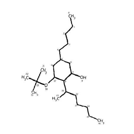 CCCCCC1CC(O)C(C(C)CCCCC)C(OC(C)(C)C)C1